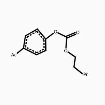 CC(=O)c1ccc(OC(=O)OCCC(C)C)cc1